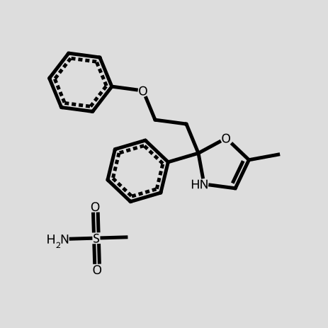 CC1=CNC(CCOc2ccccc2)(c2ccccc2)O1.CS(N)(=O)=O